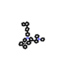 c1ccc(-n2c3ccccc3c3c(-c4ccc(N(c5ccc(-c6ccc(-c7cccc8ccccc78)cc6)cc5)c5cccc([Si](c6ccccc6)(c6ccccc6)c6ccccc6)c5)cc4)cccc32)cc1